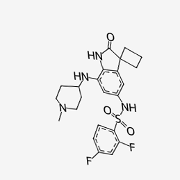 CN1CCC(Nc2cc(NS(=O)(=O)c3ccc(F)cc3F)cc3c2NC(=O)C32CCC2)CC1